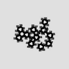 c1ccc(-c2cccc(-c3cccc(-c4nc(-c5ccccc5)cc(-n5c6ccccc6c6c5ccc5c7ccccc7n(-c7ccc8c9ccccc9c9ccccc9c8c7)c56)n4)c3)c2)cc1